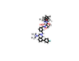 CC[C@@H]1CON(Cc2cccc(CN(CCN(C)C)Cc3ccccc3-c3ccc(F)cc3)c2)[C@@]1(CO)C(=O)N[C@H]1C[C@H]2C[C@@H]([C@@H]1C)C2(C)C